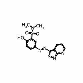 CN(C)S(=O)(=O)c1cc(/N=N/c2snc3ncccc23)ccc1O